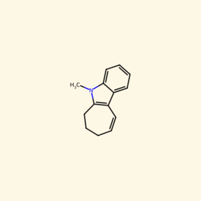 Cn1c2c(c3ccccc31)C=CCCC2